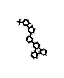 CC(C)(C)c1ccc2oc3ccc(-c4cccc(-c5ccc6c(c5)c5ccccc5c5nccnc65)c4)cc3c2c1